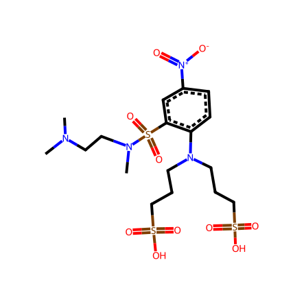 CN(C)CCN(C)S(=O)(=O)c1cc([N+](=O)[O-])ccc1N(CCCS(=O)(=O)O)CCCS(=O)(=O)O